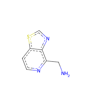 NCc1nccc2scnc12